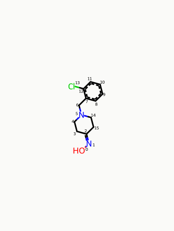 ON=C1CCN(Cc2ccccc2Cl)CC1